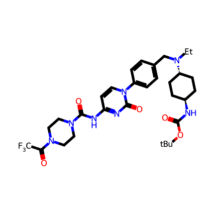 CCN(Cc1ccc(-n2ccc(NC(=O)N3CCN(C(=O)C(F)(F)F)CC3)nc2=O)cc1)[C@H]1CC[C@H](NC(=O)OC(C)(C)C)CC1